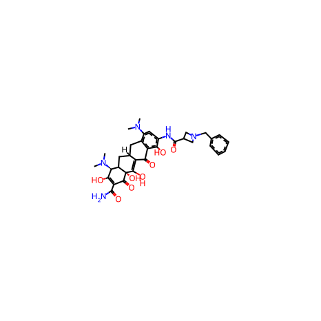 CN(C)c1cc(NC(=O)C2CN(Cc3ccccc3)C2)c(O)c2c1C[C@H]1CC3[C@H](N(C)C)C(O)=C(C(N)=O)C(=O)[C@@]3(O)C(O)=C1C2=O